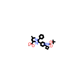 COC(=O)c1cc(C)cn2c(-c3ccccc3)c(-c3ccc(C4(NC(=O)OC(C)(C)C)CCC4)cc3)nc12